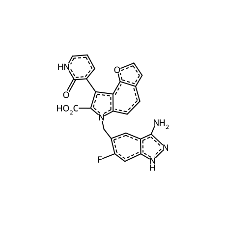 Nc1n[nH]c2cc(F)c(Cn3c(C(=O)O)c(-c4ccc[nH]c4=O)c4c5occc5ccc43)cc12